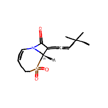 CC(C)(C)C=C=C1C(=O)N2C=CCS(=O)(=O)[C@@H]12